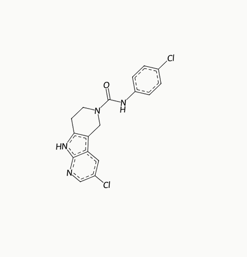 O=C(Nc1ccc(Cl)cc1)N1CCc2[nH]c3ncc(Cl)cc3c2C1